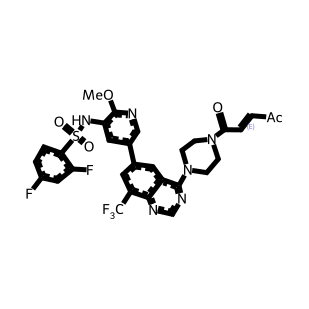 COc1ncc(-c2cc(C(F)(F)F)c3ncnc(N4CCN(C(=O)/C=C/C(C)=O)CC4)c3c2)cc1NS(=O)(=O)c1ccc(F)cc1F